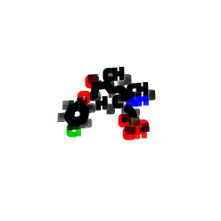 CC(CCC(C)(C)NCCS(=O)(=O)O)C(=O)COc1ccc(Cl)cc1